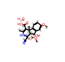 COC(=O)[C@@]12[C@H](O)c3cc(OC)ccc3C1(C)C(C(=O)O)=C(C)N[C@]2(C)C#N.O